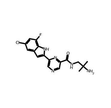 CC(C)(N)CNC(=O)c1cncc(-c2cc3cc(Cl)cc(F)c3[nH]2)n1